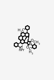 CCCC(I)c1ccccc1-c1cc2c3c(=O)n(-c4c(C)cccc4C)c(=O)c3c3cc(-c4ccccc4C)c4ccc5ccc1c1c5c4c3c21